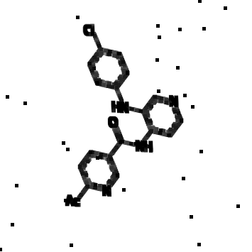 CC(=O)c1ccc(C(=O)Nc2ccncc2Nc2ccc(Cl)cc2)cn1